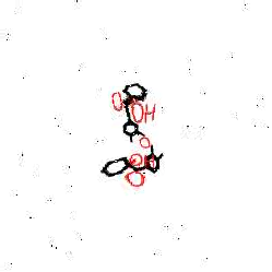 Cc1ccc(C(=O)C2(O)CCCCC2)cc1COCc1cc(C(=O)C2(O)CCCCC2)ccc1C